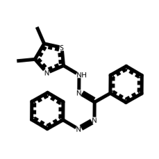 Cc1nc(NN=C(/N=N\c2ccccc2)c2ccccc2)sc1C